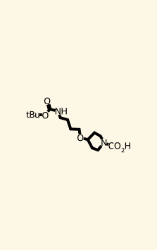 CC(C)(C)OC(=O)NCCCCOC1CCN(C(=O)O)CC1